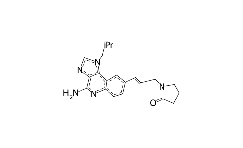 CC(C)Cn1cnc2c(N)nc3ccc(C=CCN4CCCC4=O)cc3c21